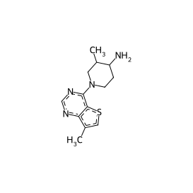 Cc1csc2c(N3CCC(N)C(C)C3)ncnc12